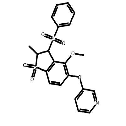 COc1c(Oc2cccnc2)ccc2c1C(S(=O)(=O)c1ccccc1)C(C)S2(=O)=O